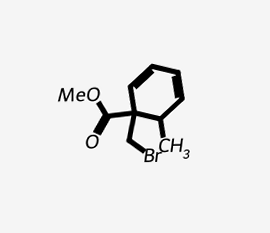 COC(=O)C1(CBr)C=CC=CC1C